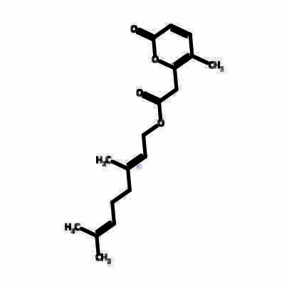 CC(C)=CCC/C(C)=C/COC(=O)Cc1oc(=O)ccc1C